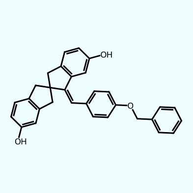 Oc1ccc2c(c1)CC1(C2)Cc2ccc(O)cc2C1=Cc1ccc(OCc2ccccc2)cc1